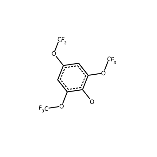 [O]c1c(OC(F)(F)F)cc(OC(F)(F)F)cc1OC(F)(F)F